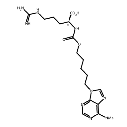 CNc1ncnc2c1ncn2CCCCCOC(=O)N[C@@H](CCCNC(=N)N)C(=O)O